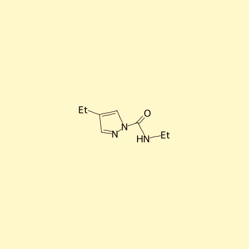 CCNC(=O)n1cc(CC)cn1